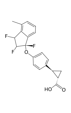 Cc1cccc2c1C(F)C(F)[C@@]2(F)Oc1ccc([C@H]2C[C@@H]2C(=O)O)cc1